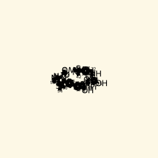 COC(=O)C[C@@H]1N=C(c2ccc(-c3ccc4c(c3)CN([C@H](C(=O)N3C[C@H](O)C[C@H]3C(=O)N[C@@H](C)c3ccc(-c5scnc5C)cc3)C(C)C)C4O)cc2)c2c(sc(C)c2C)-n2c(C)nnc21